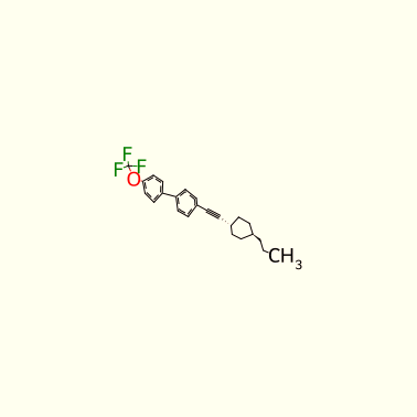 CCC[C@H]1CC[C@H](C#Cc2ccc(-c3ccc(OC(F)(F)F)cc3)cc2)CC1